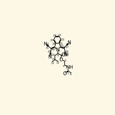 CC(=O)NCCOC(O)C(CC(C)C)n1c(=C(C#N)C#N)c2ccccc2c1=C(C#N)C#N